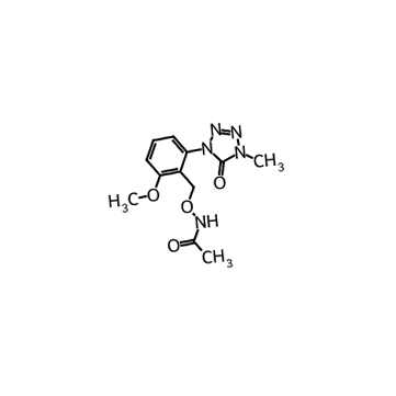 COc1cccc(-n2nnn(C)c2=O)c1CONC(C)=O